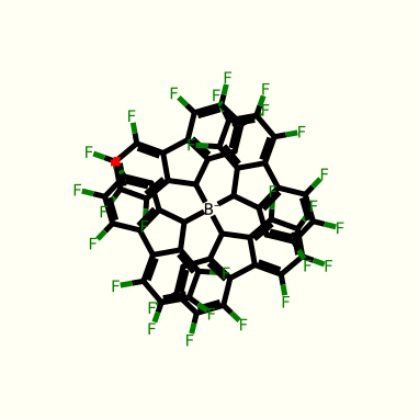 Fc1cc2c(c(F)c1F)-c1c(F)c(F)c(F)c(F)c1C2[B-](C1c2cc(F)c(F)c(F)c2-c2c(F)c(F)c(F)c(F)c21)(C1c2cc(F)c(F)c(F)c2-c2c(F)c(F)c(F)c(F)c21)C1c2cc(F)c(F)c(F)c2-c2c(F)c(F)c(F)c(F)c21